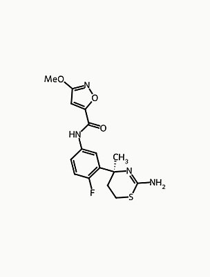 COc1cc(C(=O)Nc2ccc(F)c([C@]3(C)CCSC(N)=N3)c2)on1